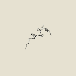 CCCCCNC(=O)C(=O)[C@H](C)N